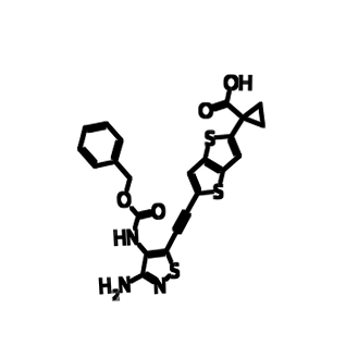 Nc1nsc(C#Cc2cc3sc(C4(C(=O)O)CC4)cc3s2)c1NC(=O)OCc1ccccc1